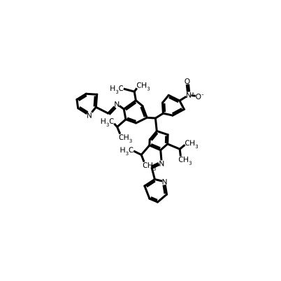 CC(C)c1cc(C(c2ccc([N+](=O)[O-])cc2)c2cc(C(C)C)c(N=Cc3ccccn3)c(C(C)C)c2)cc(C(C)C)c1N=Cc1ccccn1